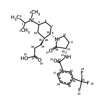 CC(C)N(C)C1CC[C@H](N2CC[C@H](NC(=O)c3cccc(C(F)(F)F)c3)C2=O)[C@@H](CCC(=O)O)C1